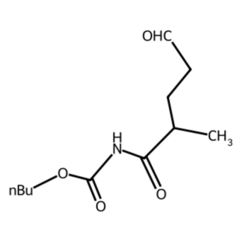 CCCCOC(=O)NC(=O)C(C)CCC=O